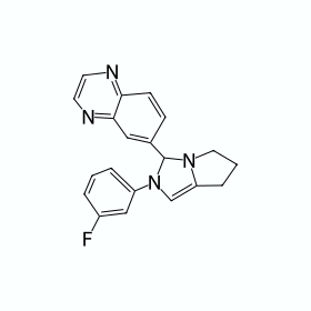 Fc1cccc(N2C=C3CCCN3C2c2ccc3nccnc3c2)c1